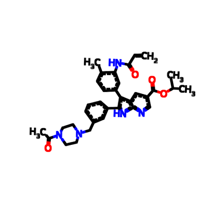 C=CC(=O)Nc1cc(-c2c(-c3cccc(CN4CCN(C(C)=O)CC4)c3)[nH]c3ncc(C(=O)OC(C)C)cc23)ccc1C